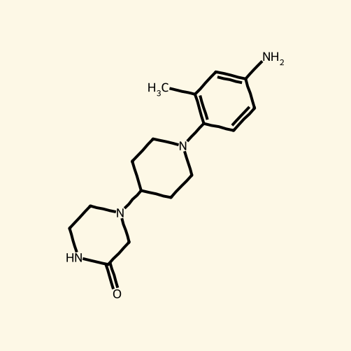 Cc1cc(N)ccc1N1CCC(N2CCNC(=O)C2)CC1